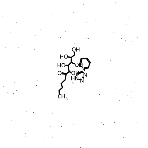 CCCCCC(=O)C(O)C(O)C(O)C(O)CO.c1c[nH]nn1.c1ccncc1